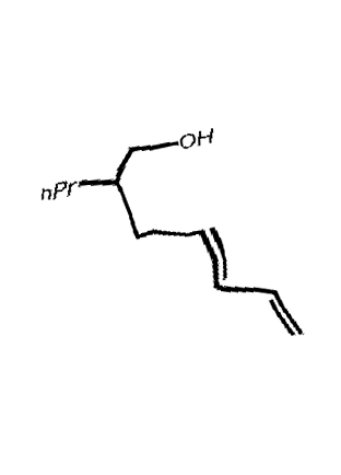 C=CC=CCC(CO)CCC